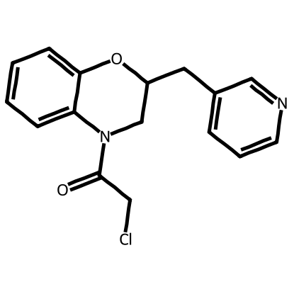 O=C(CCl)N1CC(Cc2cccnc2)Oc2ccccc21